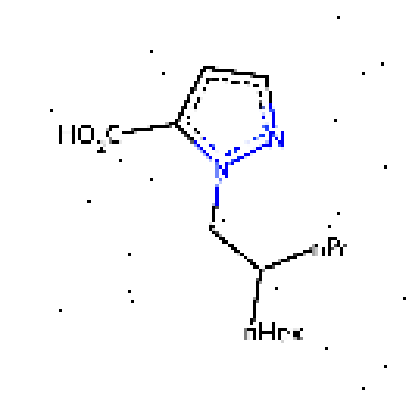 CCCCCCC(CCC)Cn1nccc1C(=O)O